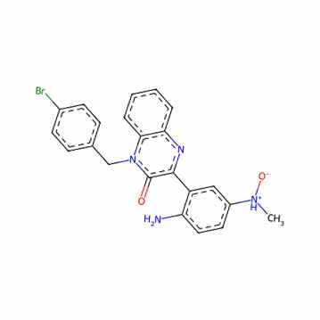 C[NH+]([O-])c1ccc(N)c(-c2nc3ccccc3n(Cc3ccc(Br)cc3)c2=O)c1